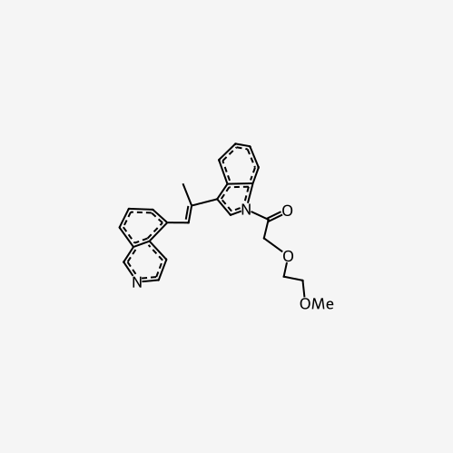 COCCOCC(=O)n1cc(/C(C)=C/c2cccc3cnccc23)c2ccccc21